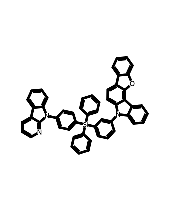 c1ccc([Si](c2ccccc2)(c2ccc(-n3c4ccccc4c4cccnc43)cc2)c2cccc(-n3c4ccccc4c4c5oc6ccccc6c5ccc43)c2)cc1